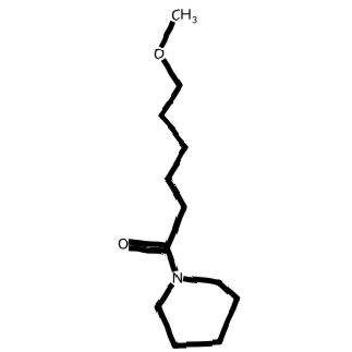 COCCCCCC(=O)N1CCCCC1